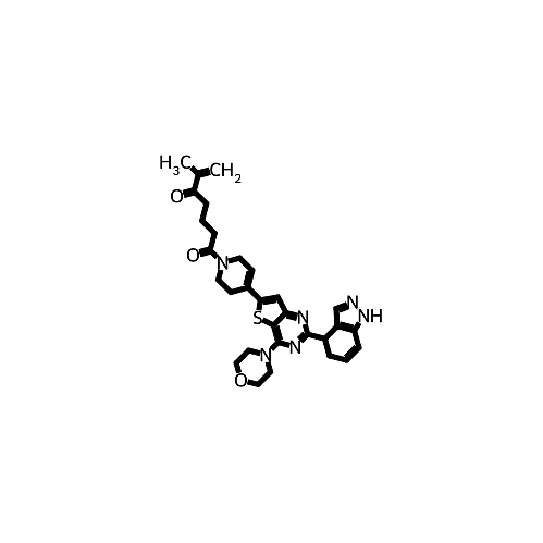 C=C(C)C(=O)CCCC(=O)N1CC=C(c2cc3nc(C4CC=Cc5[nH]ncc54)nc(N4CCOCC4)c3s2)CC1